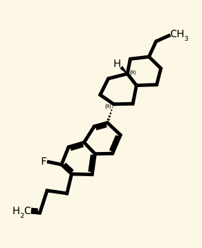 C=CCCc1cc2ccc([C@@H]3CC[C@@H]4CC(CC)CCC4C3)cc2cc1F